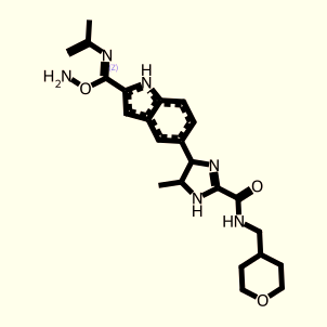 C=C(C)/N=C(\ON)c1cc2cc(C3N=C(C(=O)NCC4CCOCC4)NC3C)ccc2[nH]1